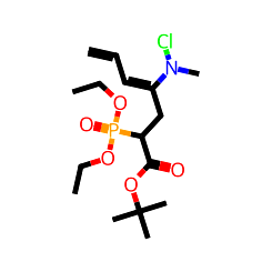 C=C/C=C(/CC(C(=O)OC(C)(C)C)P(=O)(OCC)OCC)N(C)Cl